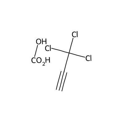 C#CC(Cl)(Cl)Cl.O=C(O)O